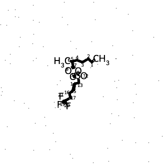 CCCCCC(C)C(=O)OS(=O)(=O)CC=CCCC(F)(F)F